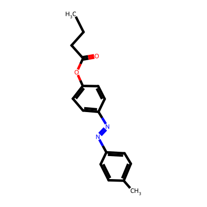 CCCC(=O)Oc1ccc(N=Nc2ccc(C)cc2)cc1